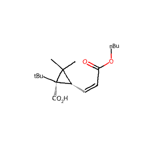 CCCCOC(=O)/C=C\[C@H]1C(C)(C)[C@]1(C(=O)O)C(C)(C)C